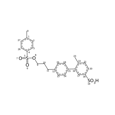 Cc1ccc(S(=O)(=O)OCCCc2ccc(-c3cc(S(=O)(=O)O)ccc3C)cc2)cc1